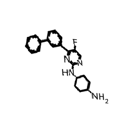 N[C@H]1CC[C@H](Nc2ncc(F)c(-c3cccc(-c4ccccc4)c3)n2)CC1